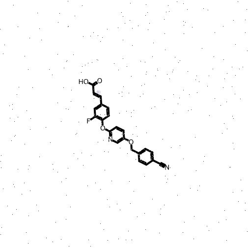 N#Cc1ccc(COc2ccc(Oc3ccc(/C=C/C(=O)O)cc3F)nc2)cc1